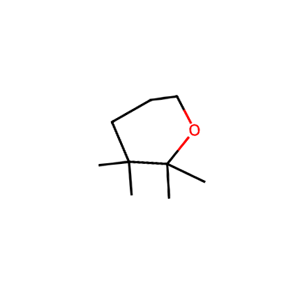 CC1(C)CCCOC1(C)C